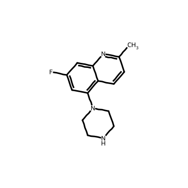 Cc1ccc2c(N3CCNCC3)cc(F)cc2n1